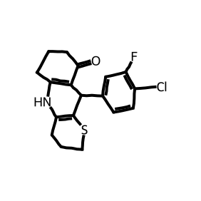 O=C1CCCC2=C1C(c1ccc(Cl)c(F)c1)C1=C(CCCS1)N2